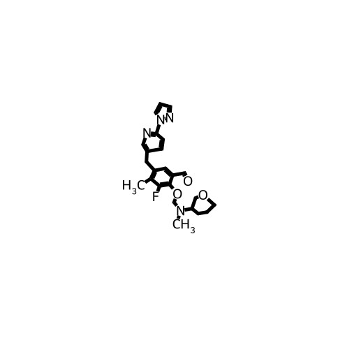 Cc1c(Cc2ccc(-n3cccn3)nc2)cc(C=O)c(OCN(C)C2CCCOC2)c1F